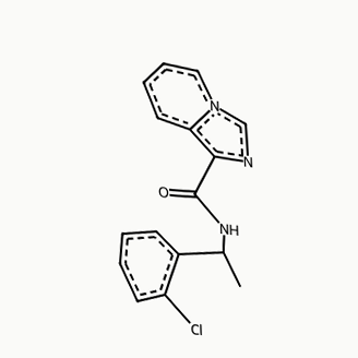 CC(NC(=O)c1ncn2ccccc12)c1ccccc1Cl